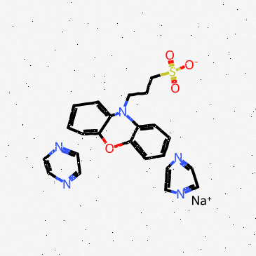 O=S(=O)([O-])CCCN1c2ccccc2Oc2ccccc21.[Na+].c1cnccn1.c1cnccn1